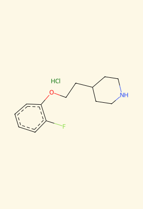 Cl.Fc1ccccc1OCCC1CCNCC1